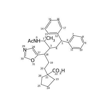 CC(=O)NC(C)C(CC(c1ccccc1)c1ccccc1)C(CCC1(C(=O)O)CCCC1)c1cnco1